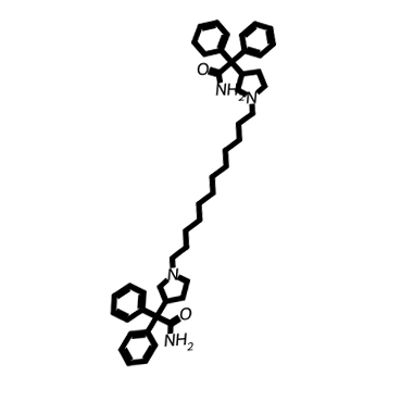 NC(=O)C(C1=CC=CCC1)(c1ccccc1)C1CCN(CCCCCCCCCCCCN2CCC(C(C(N)=O)(c3ccccc3)c3ccccc3)C2)C1